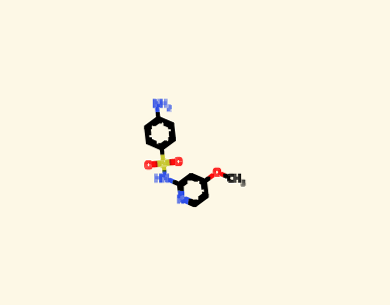 COc1ccnc(NS(=O)(=O)c2ccc(N)cc2)c1